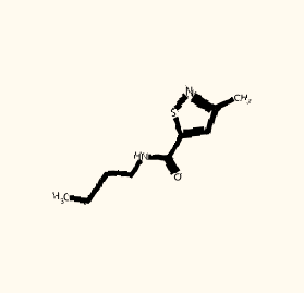 CCCCNC(=O)c1cc(C)ns1